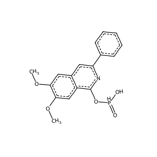 COc1cc2cc(-c3ccccc3)nc(O[PH](=O)O)c2cc1OC